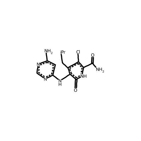 CC(C)Cc1c(Cl)c(C(N)=O)[nH]c(=O)c1Nc1cc(N)ncn1